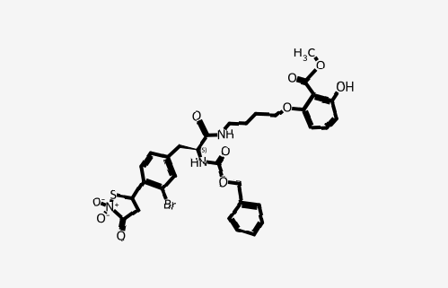 COC(=O)c1c(O)cccc1OCCCCNC(=O)[C@H](Cc1ccc(C2CC(=O)[N+]([O-])([O-])S2)c(Br)c1)NC(=O)OCc1ccccc1